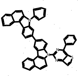 c1ccc(-c2nc(-n3c4ccc(-c5ccc6c7c8ccccc8ccc7n(-c7ccccc7)c6c5)cc4c4c5ccccc5ccc43)nc3ccsc23)cc1